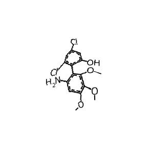 COc1cc(N)c(-c2c(O)cc(Cl)cc2Cl)c(OC)c1OC